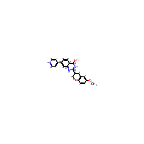 COc1ccc2c(c1)CC(c1nc(O)c3ccc(-c4ccncc4)cc3n1)CO2